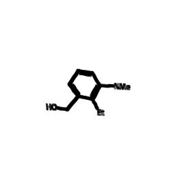 CCc1c(CO)cccc1NC